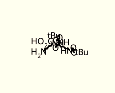 CC(C)(C)OC(=O)NCCCCC(NC(=O)OC(C)(C)C)C(=O)N[C@@H](CCCCN)C(=O)O